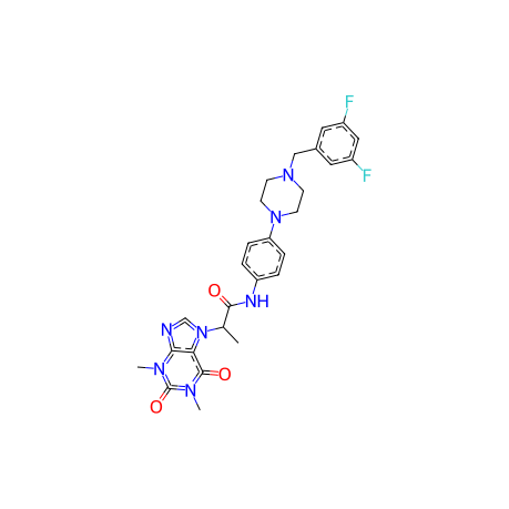 CC(C(=O)Nc1ccc(N2CCN(Cc3cc(F)cc(F)c3)CC2)cc1)n1cnc2c1c(=O)n(C)c(=O)n2C